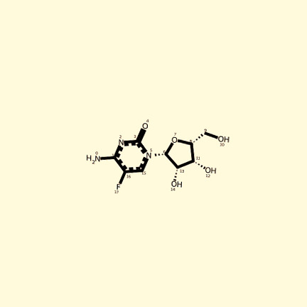 Nc1nc(=O)n([C@@H]2O[C@H](CO)[C@H](O)[C@@H]2O)cc1F